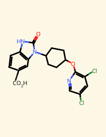 O=C(O)c1ccc2[nH]c(=O)n(C3CCC(Oc4ncc(Cl)cc4Cl)CC3)c2c1